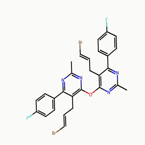 Cc1nc(Oc2nc(C)nc(-c3ccc(F)cc3)c2CC=CBr)c(CC=CBr)c(-c2ccc(F)cc2)n1